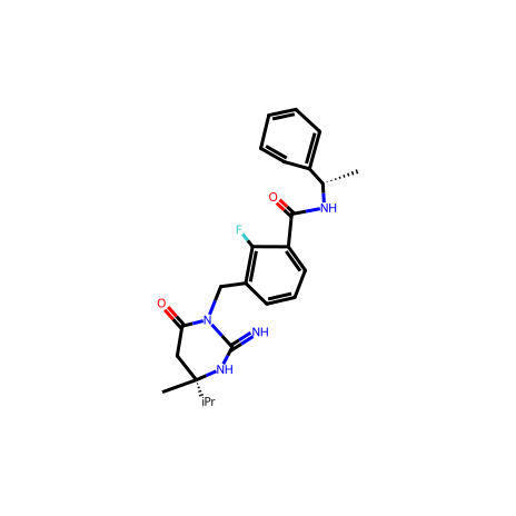 CC(C)[C@]1(C)CC(=O)N(Cc2cccc(C(=O)N[C@@H](C)c3ccccc3)c2F)C(=N)N1